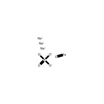 O=P([O-])([O-])[O-].[Na+].[Na+].[Na+].[O]=[Fe]